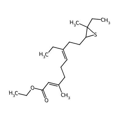 CCOC(=O)C=C(C)CCC=C(CC)CCC1SC1(C)CC